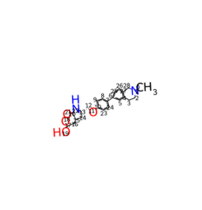 CN1CCc2cc(-c3ccc(OC[C@@H]4C[C@@H](CC(=O)O)C(=O)N4)cc3)ccc2C1